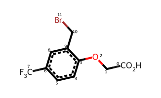 O=C(O)COc1ccc(C(F)(F)F)cc1CBr